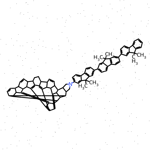 CC1(C)c2ccccc2-c2ccc(-c3ccc4c(c3)C(C)(C)c3cc(-c5ccc6c(c5)C(C)(C)c5cc(N7CC8C(C7)C7C9C=CC%10C%11CCC%12c%13c%11c%11c%14c%15c%13C%13C%12C=CC%12C%16C=CC%17C%18C%19=C(C%15=C(C%16%18)C%12%13)C%14=C(C9C%11%10)C7C%19C%178)ccc5-6)ccc3-4)cc21